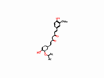 COc1cc(C=CC(=O)CC(=O)C=CC2CC=C(O)C(OC(C(C)=O)C(C)=O)C2)ccc1O